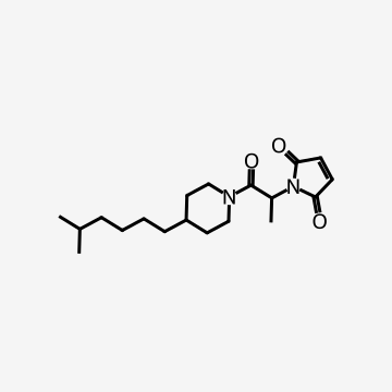 CC(C)CCCCC1CCN(C(=O)C(C)N2C(=O)C=CC2=O)CC1